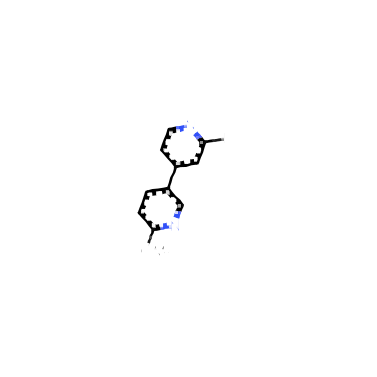 CCc1cc(-c2ccc(OC)nc2)ccn1